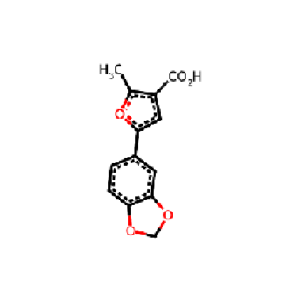 Cc1oc(-c2ccc3c(c2)OCO3)cc1C(=O)O